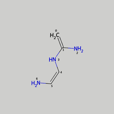 C=C(N)N/C=C\N